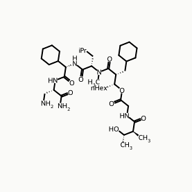 CCCCCC[C@@H](OC(=O)CNC(=O)[C@@H](C)[C@H](C)O)[C@@H](CC1CCCCC1)C(=O)N(C)[C@@H](CC(C)C)C(=O)N[C@H](C(=O)N[C@@H](CN)C(N)=O)C1CCCCC1